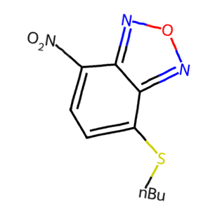 CCCCSc1ccc([N+](=O)[O-])c2nonc12